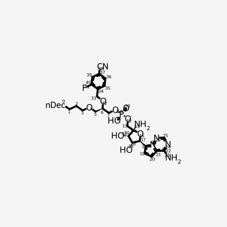 CCCCCCCCCCCCCOC[C@H](COP(=O)(O)OC[C@@]1(N)O[C@@H](c2ccc3c(N)ncnn23)[C@H](O)[C@@H]1O)OCc1ccc(C#N)cc1F